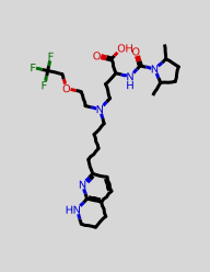 CC1CCC(C)N1C(=O)NC(CCN(CCCCc1ccc2c(n1)NCCC2)CCOCC(F)(F)F)C(=O)O